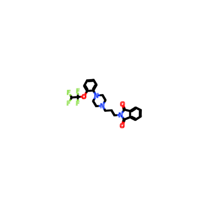 O=C1c2ccccc2C(=O)N1CCCN1CCN(c2ccccc2OC(F)(F)C(F)F)CC1